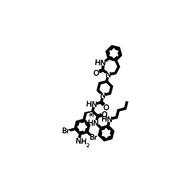 CCCCNc1ccccc1NC(=O)[C@@H](Cc1cc(Br)c(N)c(Br)c1)NC(=O)N1CCC(N2CCc3ccccc3NC2=O)CC1